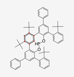 CC(C)(C)c1ccccc1-c1cc(-c2ccccc2)cc(-c2ccccc2C(C)(C)C)c1OPOc1c(-c2ccccc2C(C)(C)C)cc(-c2ccccc2)cc1-c1ccccc1C(C)(C)C